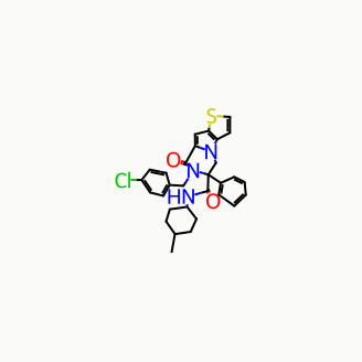 CC1CCC(NC(=O)C2(c3ccccc3)Cn3c(cc4sccc43)C(=O)N2Cc2ccc(Cl)cc2)CC1